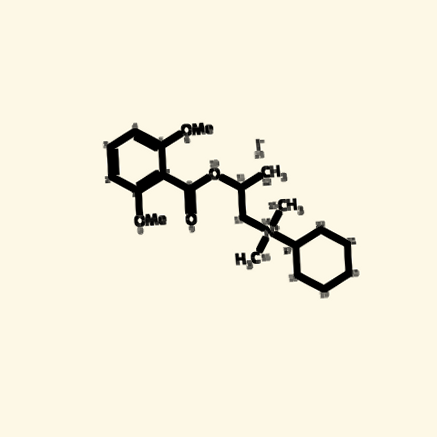 COc1cccc(OC)c1C(=O)OC(C)C[N+](C)(C)C1CCCCC1.[I-]